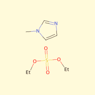 CCOS(=O)(=O)OCC.Cn1ccnc1